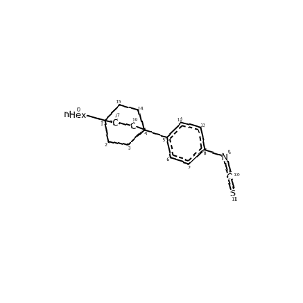 CCCCCCC12CCC(c3ccc(N=C=S)cc3)(CC1)CC2